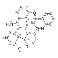 CCC(c1nc2ccccn2c(=O)c1Cc1ccccc1)N(CCCN)C(=O)c1ccncc1Cl